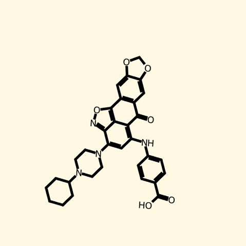 O=C(O)c1ccc(Nc2cc(N3CCN(C4CCCCC4)CC3)c3noc4c3c2C(=O)c2cc3c(cc2-4)OCO3)cc1